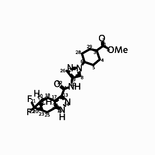 COC(=O)C1CCC(n2cc(NC(=O)c3n[nH]c4c3C[C@@H]3C(F)(F)[C@]3(C)C4)cn2)CC1